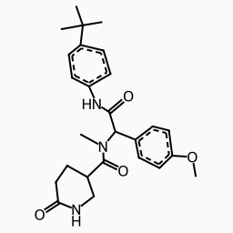 COc1ccc(C(C(=O)Nc2ccc(C(C)(C)C)cc2)N(C)C(=O)C2CCC(=O)NC2)cc1